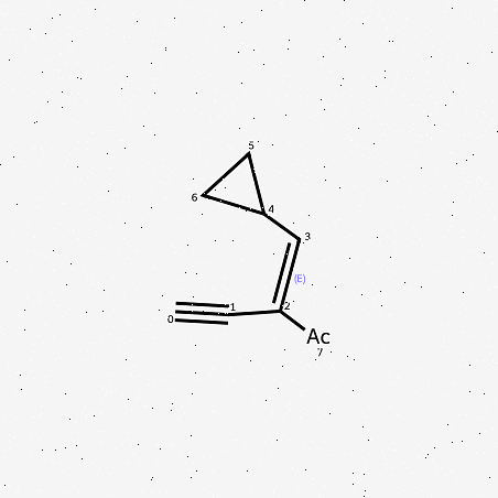 C#C/C(=C\C1CC1)C(C)=O